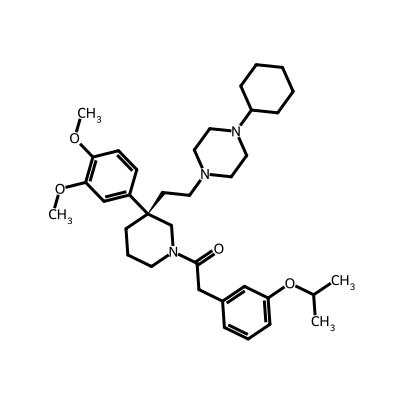 COc1ccc([C@@]2(CCN3CCN(C4CCCCC4)CC3)CCCN(C(=O)Cc3cccc(OC(C)C)c3)C2)cc1OC